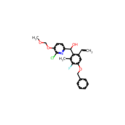 C=Cc1cc(OCc2ccccc2)c(F)c(C)c1C(O)c1ccc(OCOC)c(Cl)n1